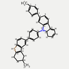 Cc1ccc(-c2ccc3c(c2)N(c2ccc(-c4ccc5sc6c(c5c4)CC(C)CC6)cc2)C2CC=CC=C32)cc1